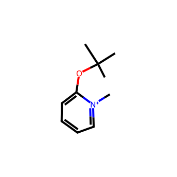 C[n+]1ccccc1OC(C)(C)C